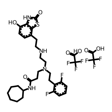 O=C(CCN(CCNCCc1ccc(O)c2[nH]c(=O)sc12)CCc1c(F)cccc1F)NC1CCCCCC1.O=C(O)C(F)(F)F.O=C(O)C(F)(F)F